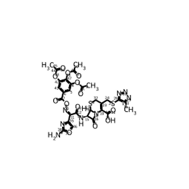 CC(=O)Oc1cc(C(=O)O/N=C(\C(=O)N[C@@H]2C(=O)N3C(C(=O)O)=C(CSc4nnnn4C)CS[C@H]23)c2coc(N)n2)cc(OC(C)=O)c1OC(C)=O